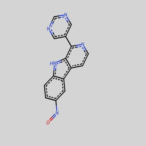 O=Nc1ccc2[nH]c3c(-c4cncnc4)nccc3c2c1